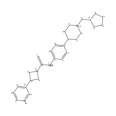 O=C(Nc1ccc(C2CCN(CC3CCCC3)CC2)cc1)N1CC(c2cccnc2)C1